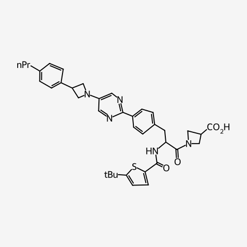 CCCc1ccc(C2CN(c3cnc(-c4ccc(CC(NC(=O)c5ccc(C(C)(C)C)s5)C(=O)N5CC(C(=O)O)C5)cc4)nc3)C2)cc1